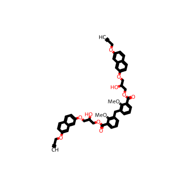 C#CCOc1ccc2ccc(OCC(O)COC(=O)c3cccc(Cc4cccc(C(=O)OCC(O)COc5ccc6ccc(OCC#C)cc6c5)c4OC)c3OC)cc2c1